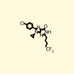 O=c1[nH]c(CCCCC(F)(F)F)nc2c1nc(-c1ccc(Cl)cc1)n2C1CC1